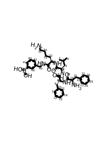 CC(C)C[C@@H](NC(=O)[C@@H](Cc1ccccc1)NC(=O)[C@H](N)Cc1ccccc1)C(=O)N[C@H](CCCCN)C(=O)NCc1cccc(B(O)O)c1